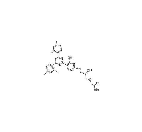 CCCCC(CC)COCC(O)COc1ccc(-c2nc(-c3ccc(C)cc3C)cc(-c3ccc(C)cc3C)n2)c(O)c1